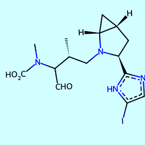 C[C@H](CN1[C@@H]2C[C@@H]2C[C@H]1c1ncc(I)[nH]1)C(C=O)N(C)C(=O)O